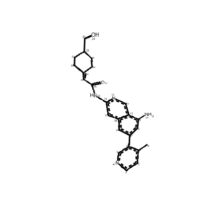 Cc1ccncc1-c1cc(N)c2cnc(NC(=O)C=C3CCC(CO)CC3)cc2c1